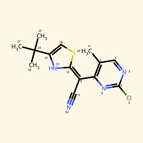 Cc1cnc(Cl)nc1C(C#N)=C1NC(C(C)(C)C)=CS1